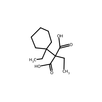 CCC1(C(CC)(C(=O)O)C(=O)O)CCCCC1